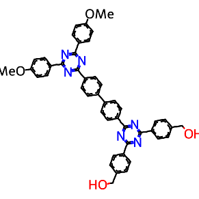 COc1ccc(-c2nc(-c3ccc(OC)cc3)nc(-c3ccc(-c4ccc(-c5nc(-c6ccc(CO)cc6)nc(-c6ccc(CO)cc6)n5)cc4)cc3)n2)cc1